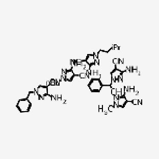 CC(C)CCn1cc(C#N)c(N)n1.CC(c1ccccc1)n1cc(C#N)c(N)n1.CCCCn1cc(C#N)c(N)n1.Cn1cc(C#N)c(N)n1.N#Cc1cn(Cc2ccccc2)nc1N